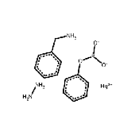 NCc1ccccc1.NN.[Hg+2].[O-]B([O-])Oc1ccccc1